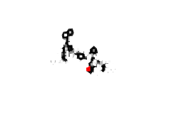 CN[C@@H](C)C(=O)N[C@H](C(=O)N1C[C@@H](NC(=O)c2ccc(CN(C(=O)C3Cc4ccccc4CN3C(=O)[C@@H](NC(=O)[C@H](C)NC)C(C)(C)C)C(C)c3ccccc3)cc2)CC1C(=O)NC1CCCc2ccccc21)C(C)(C)C